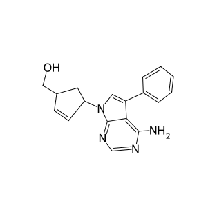 Nc1ncnc2c1c(-c1ccccc1)cn2C1C=CC(CO)C1